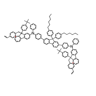 C=Cc1ccc(CC2(c3ccc(C(C)(C)C)cc3)c3ccccc3-c3ccc(N(c4ccccc4)c4ccc(-c5ccc6c(c5)C(c5ccc(CCCCCC)cc5)(c5ccc(CCCCCC)cc5)c5cc(-c7ccc(N(c8ccccc8)c8ccc9c(c8)[C@@](Cc8ccc(C=C)cc8)(c8ccc(C(C)(C)C)cc8)c8ccccc8-9)cc7)ccc5-6)cc4)cc32)cc1